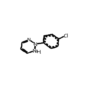 Clc1ccc(N2N=CC=CN2)cc1